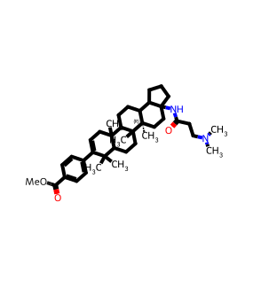 COC(=O)c1ccc(C2=CCC3(C)C(CCC4(C)C3CCC3C5CCCC5(NC(=O)CCN(C)C)CC[C@]34C)C2(C)C)cc1